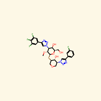 CO[C@@H]1[C@@H](n2cc(-c3cc(F)c(F)c(F)c3)nn2)[C@@H](O)[C@@H](CO)O[C@H]1S[C@@H]1COC[C@H](n2cc(-c3cccc(F)c3)nn2)[C@H]1O